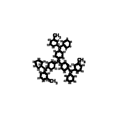 CC1=CC(N(C2=CCCC=C2)c2ccc(N(C3=CC=C(N(c4cccc(C)c4)C4C=CC=CC4)CC3)c3ccc(N(c4ccccc4)c4cccc(C)c4)cc3)cc2)CC=C1